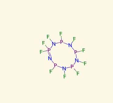 FN1P(F)N=P(F)(F)N(F)P(F)N(F)P(F)N(F)P1F